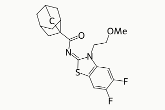 COCCn1c(=NC(=O)C23CC4CC(CC2C4)C3)sc2cc(F)c(F)cc21